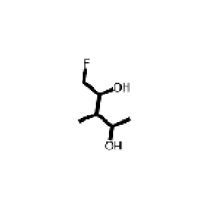 CC(O)C(C)C(O)CF